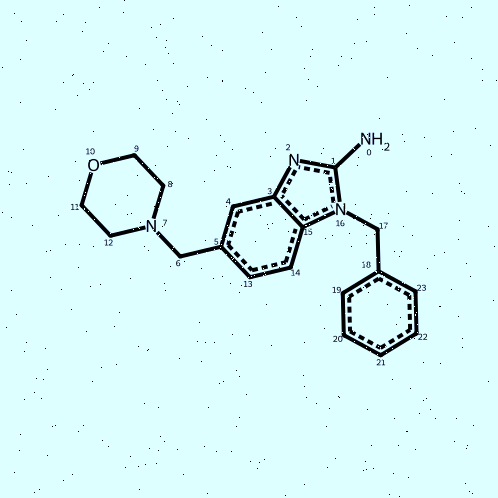 Nc1nc2cc(CN3CCOCC3)ccc2n1Cc1ccccc1